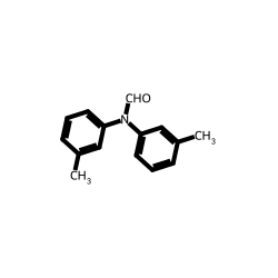 Cc1cccc(N(C=O)c2cccc(C)c2)c1